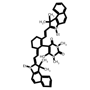 CCN1/C(=C/C=C2\CCCC(/C=C/C3=[N+](CC)c4ccc5ccccc5c4C3(C)C)=C2c2c(O)n(C)c(=O)n(C)c2=O)C(C)(C)c2c1ccc1ccccc21